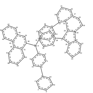 c1ccc(-c2ccc(N(c3ccc(-c4cccc5ccn6c7ccccc7c(-c7ccccc7)c6c45)cc3)c3cc4ccccc4c4ccccc34)cc2)cc1